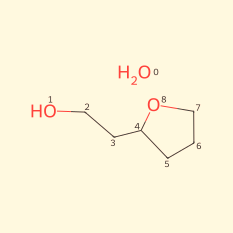 O.OCCC1CCCO1